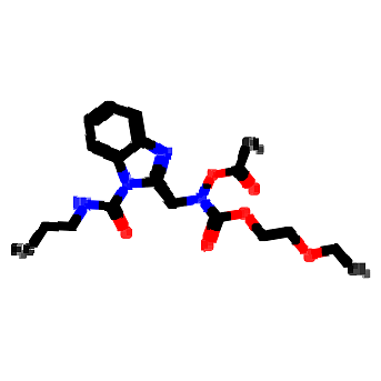 CCCNC(=O)n1c(CN(OC(C)=O)C(=O)OCCOCC)nc2ccccc21